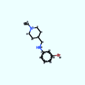 CC(C)(C)N1CCC(CNc2cccc(Br)c2)CC1